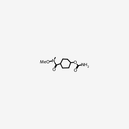 CON(C)C(=O)C1CCC(OC(N)=O)CC1